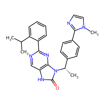 CC(C)c1ccccc1-c1ncc2[nH]c(=O)n([C@@H](C)c3ccc(-c4nccn4C)cc3)c2n1